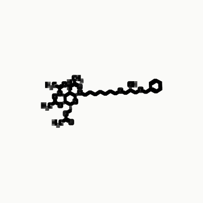 CC(=O)N[C@H]1[C@H](OCCCCCCCOC[C@H](O)COCc2ccccc2)O[C@H](COC(C)=O)[C@H](OC(C)=O)[C@@H]1OC(C)=O